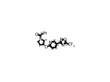 CC(C)C(=O)N1CC[C@H](Oc2ccc(-c3noc(C(F)(F)F)n3)cn2)C1